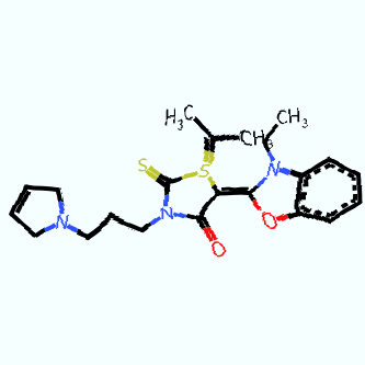 CCN1C(=C2C(=O)N(CCCN3CC=CC3)C(=S)S2=C(C)C)Oc2ccccc21